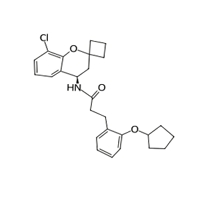 O=C(CCc1ccccc1OC1CCCC1)N[C@@H]1CC2(CCC2)Oc2c(Cl)cccc21